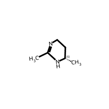 CC1=NCC[C@H](C)N1